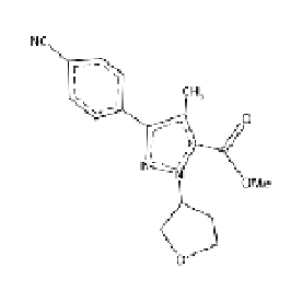 COC(=O)c1c(C)c(-c2ccc(C#N)cc2)nn1C1CCOC1